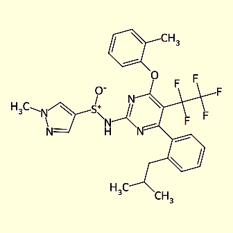 Cc1ccccc1Oc1nc(N[S+]([O-])c2cnn(C)c2)nc(-c2ccccc2CC(C)C)c1C(F)(F)C(F)(F)F